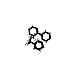 C1CCC(C2CCCCC2)CC1.NC(=O)c1ccccc1